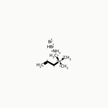 Br.C=CC[N+](C)(C)C.N.[Br-]